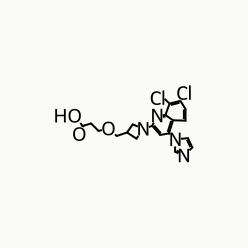 O=C(O)CCOCC1CN(c2cc(-n3ccnc3)c3ccc(Cl)c(Cl)c3n2)C1